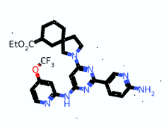 CCOC(=O)C1CCCC2(CCN(c3cc(Nc4cc(OC(F)(F)F)ccn4)nc(-c4ccc(N)nc4)n3)C2)C1